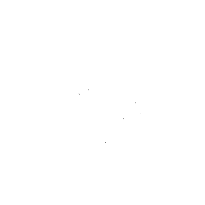 Cc1nn(C(c2ccccc2)(c2ccccc2)c2ccccc2)cc1-c1ccc2nccc(N3CCN(c4cccc(C(F)(F)F)c4)CC3)c2c1